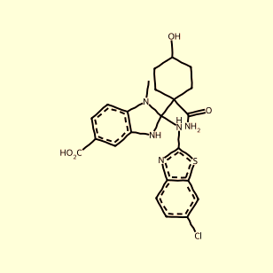 CN1c2ccc(C(=O)O)cc2NC1(Nc1nc2ccc(Cl)cc2s1)C1(C(N)=O)CCC(O)CC1